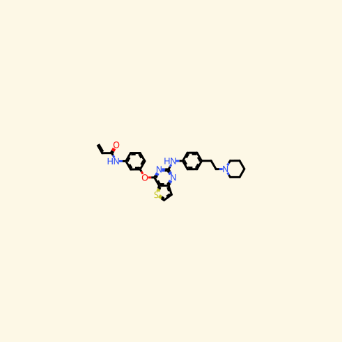 C=CC(=O)Nc1cccc(Oc2nc(Nc3ccc(CCN4CCCCC4)cc3)nc3ccsc23)c1